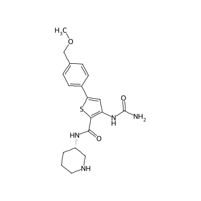 COCc1ccc(-c2cc(NC(N)=O)c(C(=O)N[C@H]3CCCNC3)s2)cc1